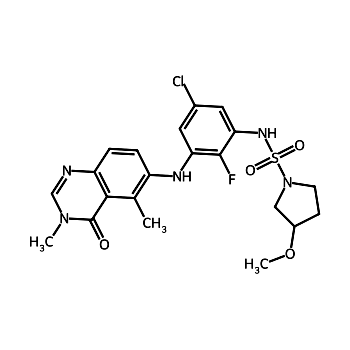 COC1CCN(S(=O)(=O)Nc2cc(Cl)cc(Nc3ccc4ncn(C)c(=O)c4c3C)c2F)C1